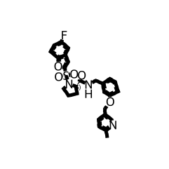 Cc1ccc(COc2cccc(CNC(=O)[C@@H]3CCCN3S(=O)(=O)c3cc4cc(F)ccc4o3)c2)cn1